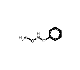 [AlH2][O][AlH][O]c1ccccc1